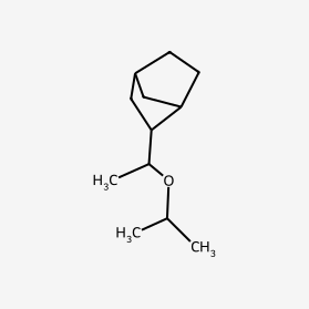 CC(C)OC(C)C1CC2CCC1C2